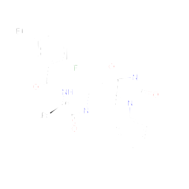 CCc1ccc(F)c(C(=O)N[C@@H](C(=O)N2CCC3(CC2)C(=O)N(C)C(=O)N3c2ccccc2)C(C)C)c1